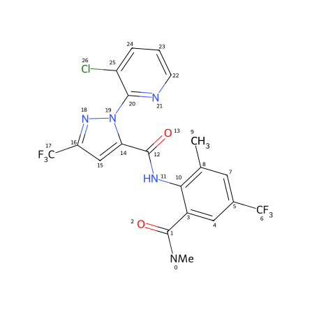 CNC(=O)c1cc(C(F)(F)F)cc(C)c1NC(=O)c1cc(C(F)(F)F)nn1-c1ncccc1Cl